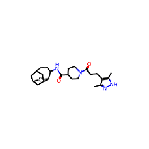 Cc1n[nH]c(C)c1CCC(=O)N1CCC(C(=O)NC2CCC3CC4CC(C3)C2C4)CC1